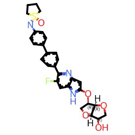 O=S1(=Nc2ccc(-c3ccc(-c4nc5cc(O[C@@H]6CO[C@H]7[C@@H]6OC[C@H]7O)[nH]c5cc4F)cc3)cc2)CCCC1